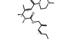 C=C(/C=C\CC)COC(=O)N(C)[C@@H](C)/C(C)=C/C(=C)N1CCN(C)CC1